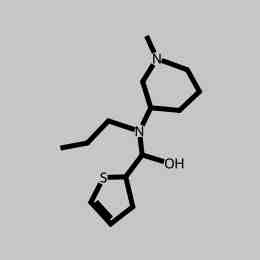 CCCN(C1CCCN(C)C1)C(O)C1CC=CS1